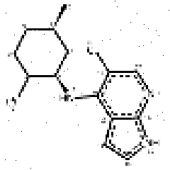 CC(C)C1CC[C@@H](C)C[C@H]1Nc1c(Cl)cnc2[nH]ccc12